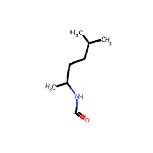 CC(C)CCC(C)N[C]=O